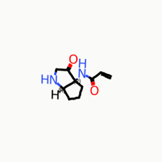 C=CC(=O)N[C@]12CCC[C@H]1NCC2=O